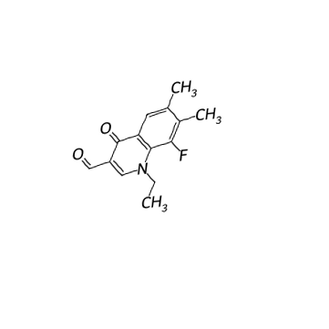 CCn1cc(C=O)c(=O)c2cc(C)c(C)c(F)c21